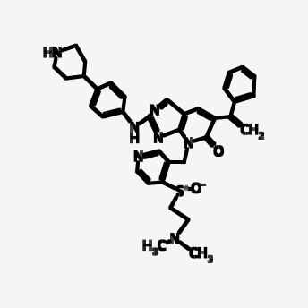 C=C(c1ccccc1)c1cc2cnc(Nc3ccc(C4CCNCC4)cc3)nc2n(Cc2cnccc2[S+]([O-])CCN(C)C)c1=O